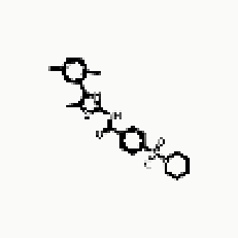 Cc1ccc(C)c(-c2nc(NC(=O)c3ccc(S(=O)(=O)N4CCCCC4)cc3)sc2C)c1